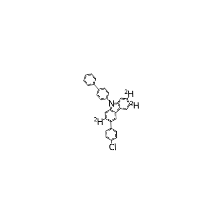 [2H]c1cc2c3cc(-c4ccc(Cl)cc4)c([2H])cc3n(-c3ccc(-c4ccccc4)cc3)c2cc1[2H]